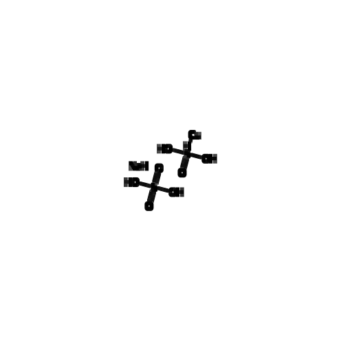 O=S(=O)(O)O.O=[SH](O)(O)[Cu].[NaH]